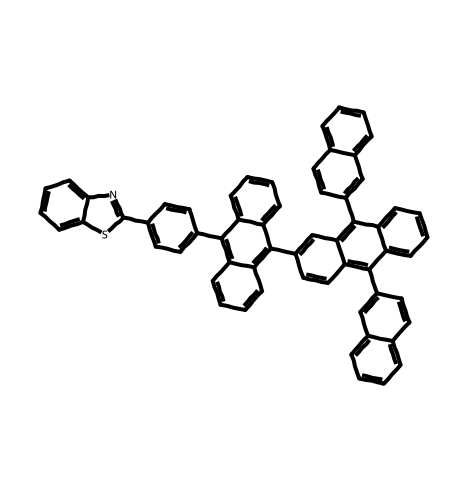 c1ccc2cc(-c3c4ccccc4c(-c4ccc5ccccc5c4)c4cc(-c5c6ccccc6c(-c6ccc(-c7nc8ccccc8s7)cc6)c6ccccc56)ccc34)ccc2c1